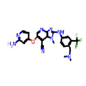 CN(C)Cc1ccc(Nc2nc3ncc(Oc4ccnc(N)c4)c(C#N)c3n2C)cc1C(F)(F)F